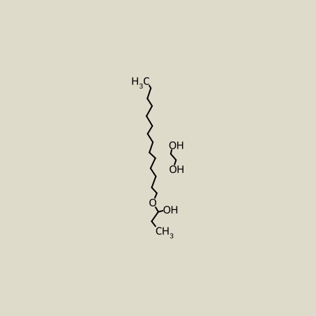 CCCCCCCCCCCCCCOC(O)CC.OCCO